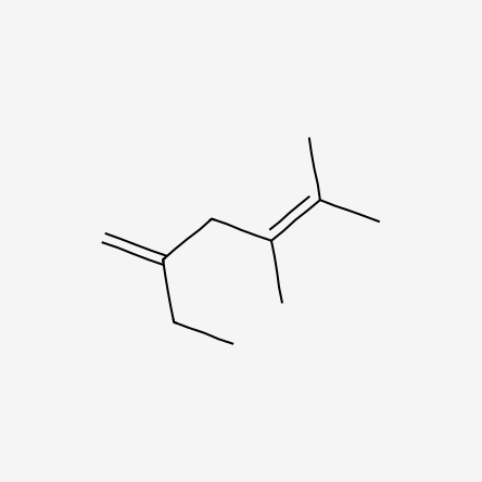 C=C(CC)CC(C)=C(C)C